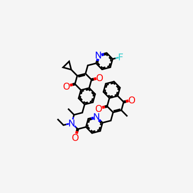 CCN(C(=O)c1ccc(CC2=C(C)C(=O)c3ccccc3C2=O)nc1)C(C)Cc1ccc2c(c1)C(=O)C(C1CC1)=C(Cc1ccc(F)cn1)C2=O